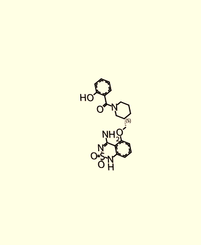 NC1=NS(=O)(=O)Nc2cccc(OC[C@H]3CCCN(C(=O)c4ccccc4O)C3)c21